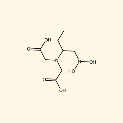 CCC(CN(O)O)N(CC(=O)O)CC(=O)O